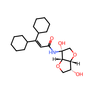 O=C(C=C(C1CCCCC1)C1CCCCC1)N[C@@]1(O)CO[C@@H]2[C@H](O)CO[C@@H]21